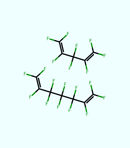 FC(F)=C(F)C(F)(F)C(F)(F)C(F)(F)C(F)=C(F)F.FC(F)=C(F)C(F)(F)C(F)=C(F)F